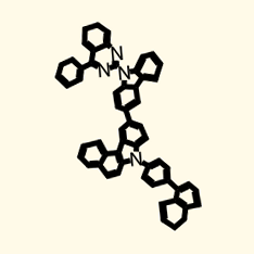 C1=CCCC(c2nc(N3c4ccccc4C4C=C(c5ccc6c(c5)c5c7ccccc7ccc5n6-c5ccc(-c6cccc7c6C=CCC7)cc5)C=CC43)nc3c2=CCCC=3)=C1